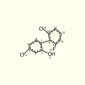 Oc1cc(Cl)ccc1-c1c(F)cccc1Cl